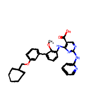 COc1c(Nc2nc(Nc3ccccn3)ncc2C(=O)O)cccc1-c1cccc(OCC2CCCCC2)c1